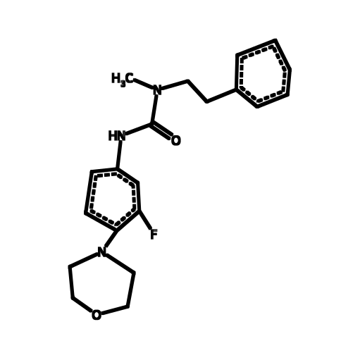 CN(CCc1ccccc1)C(=O)Nc1ccc(N2CCOCC2)c(F)c1